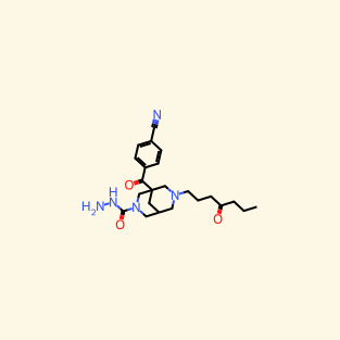 CCCC(=O)CCCN1CC2CN(C(=O)NN)CC(C(=O)c3ccc(C#N)cc3)(C2)C1